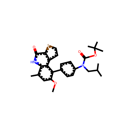 COc1cc(C)c2[nH]c(=O)c3sccc3c2c1-c1ccc(N(CC(C)C)C(=O)OC(C)(C)C)cc1